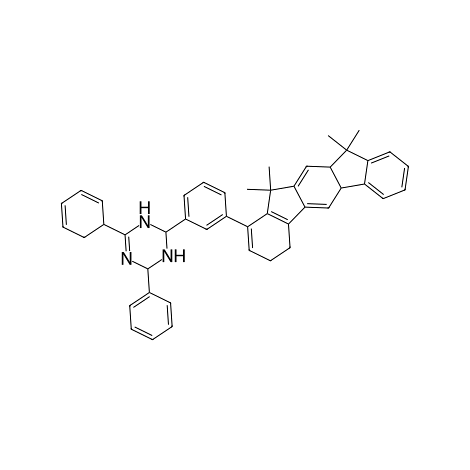 CC1(C)C2=CC3C(C=C2C2=C1C(c1cccc(C4NC(C5C=CC=CC5)=NC(c5ccccc5)N4)c1)=CCC2)c1ccccc1C3(C)C